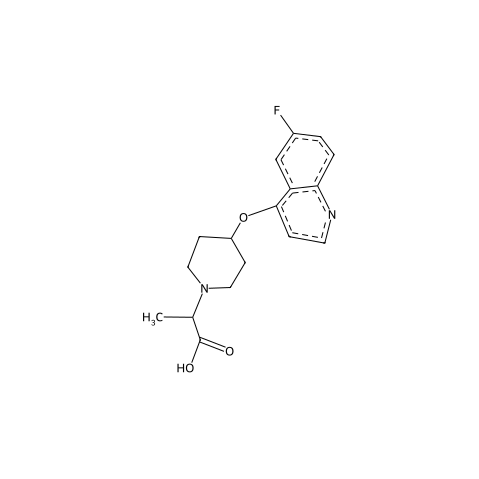 CC(C(=O)O)N1CCC(Oc2ccnc3ccc(F)cc23)CC1